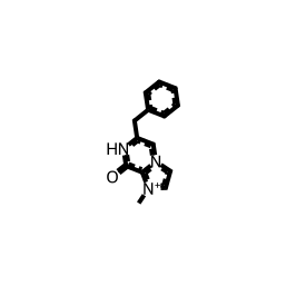 C[n+]1ccn2cc(Cc3ccccc3)[nH]c(=O)c21